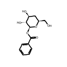 O=C(O[C@@H]1O[C@H](CO)C[C@H](O)[C@H]1O)c1ccccc1